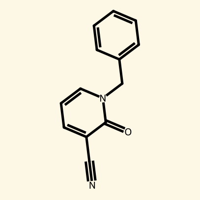 N#Cc1cccn(Cc2ccccc2)c1=O